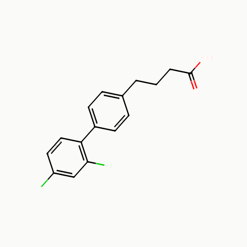 O=C(O)CCCc1ccc(-c2ccc(Cl)cc2Cl)cc1